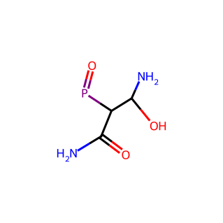 NC(=O)C(P=O)C(N)O